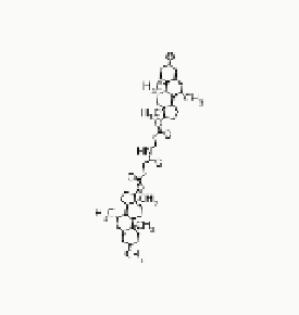 C=C1C=C2CC(C)C3C(CCC4(C)C(OC(=O)CCC(=O)NCCC(=O)OC5CCC6C7C(C)CC8=CC(=O)CCC8(C)C7CCC56C)CCC34)C2(C)CC1